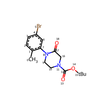 Cc1ccc(Br)cc1N1CCN(C(=O)OC(C)(C)C)CC1=O